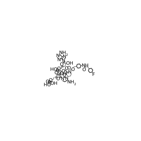 Nc1ccn([C@@H]2O[C@H](CCOP(=O)(O)O)[C@@H](OP(=O)(O)OC[C@H]3O[C@@H](n4cnc5c(N)ncnc54)C(O)C3OC(=O)[C@@H]3CCCCN3C(=O)OCc3ccc(NC(=O)Cc4ccc(F)cc4)cc3)[C@H]2O)c(=O)n1